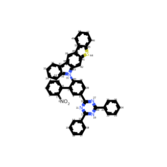 O=[N+]([O-])c1ccccc1-c1cc(-c2nc(-c3ccccc3)nc(-c3ccccc3)n2)ccc1-n1c2ccccc2c2cc3c(cc21)sc1ccccc13